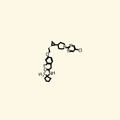 CC1(NC(=O)Cc2ccc(OCC[C@@H]3CC3C3CCN(c4ncc(Cl)cn4)CC3)cc2F)CCCC1